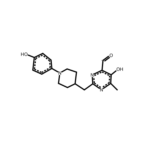 Cc1nc(CC2CCN(c3ccc(O)cc3)CC2)nc([C]=O)c1O